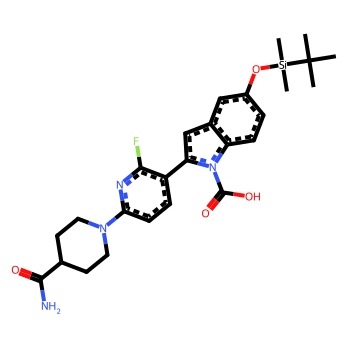 CC(C)(C)[Si](C)(C)Oc1ccc2c(c1)cc(-c1ccc(N3CCC(C(N)=O)CC3)nc1F)n2C(=O)O